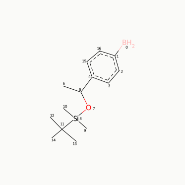 Bc1ccc(C(C)O[Si](C)(C)C(C)(C)C)cc1